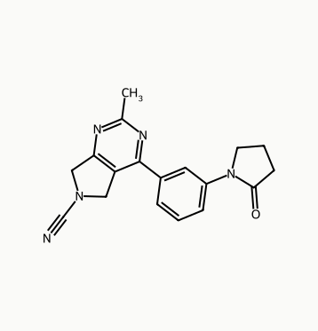 Cc1nc2c(c(-c3cccc(N4CCCC4=O)c3)n1)CN(C#N)C2